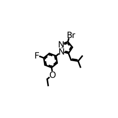 CCOc1cc(F)cc(-n2nc(Br)cc2C=C(C)C)c1